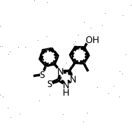 CSc1ccccc1-n1c(-c2ccc(O)cc2C)n[nH]c1=S